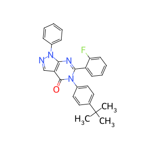 CC(C)(C)c1ccc(-n2c(-c3ccccc3F)nc3c(cnn3-c3ccccc3)c2=O)cc1